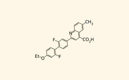 CCOc1ccc(-c2ccc(-c3cc(C(=O)O)c4cc(C)ccc4n3)cc2F)c(F)c1